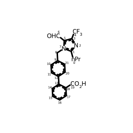 CCCc1nc(C(F)(F)F)c(C=O)n1Cc1ccc(-c2ccccc2C(=O)O)cc1